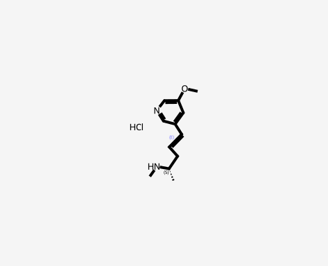 CN[C@@H](C)C/C=C/c1cncc(OC)c1.Cl